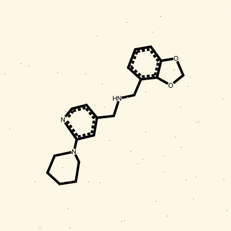 c1cc(CNCc2ccnc(N3CCCCC3)c2)c2c(c1)OCO2